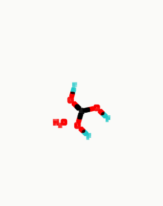 FOB(OF)OF.O